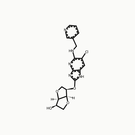 O[C@@H]1CO[C@H]2[C@@H]1OC[C@H]2Oc1nc2nc(NCc3cccnc3)c(Cl)cc2[nH]1